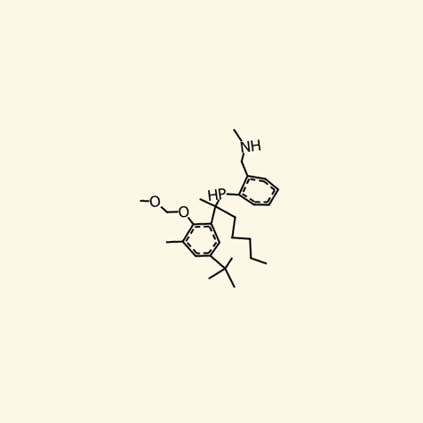 CCCCCC(C)(Pc1ccccc1CNC)c1cc(C(C)(C)C)cc(C)c1OCOC